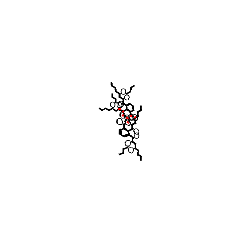 CCCCCCC(OC(=O)CCC)C(=O)c1cccc(C(=O)OOC(=O)c2cccc(C(=O)C(CCCCCC)OC(=O)CCC)c2C(=O)C(CCCCCC)OC(=O)CCC)c1C(=O)C(CCCCCC)OC(=O)CCC